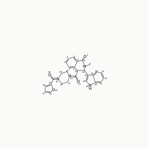 CN1C(=O)c2ccccc2C(C(=O)N2CCN(C(=O)c3ccco3)CC2)C1c1c[nH]c2ccccc12